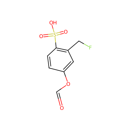 O=COc1ccc(S(=O)(=O)O)c(CF)c1